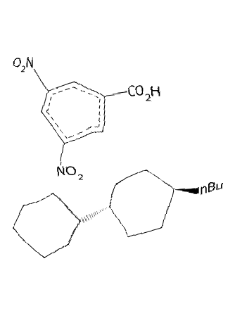 CCCC[C@H]1CC[C@H](C2CCCCC2)CC1.O=C(O)c1cc([N+](=O)[O-])cc([N+](=O)[O-])c1